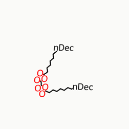 CCCCCCCCCCCCCCCCCC(=O)OC(=O)C(=O)OC(=O)CCCCCCCCCCCCCCCCC